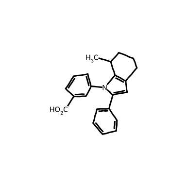 CC1CCCc2cc(-c3ccccc3)n(-c3cccc(C(=O)O)c3)c21